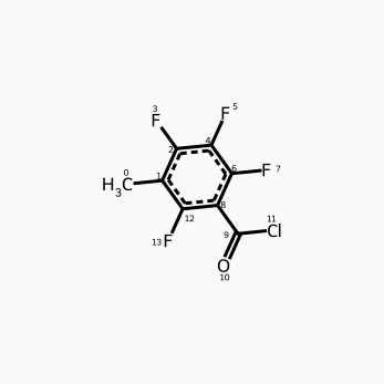 Cc1c(F)c(F)c(F)c(C(=O)Cl)c1F